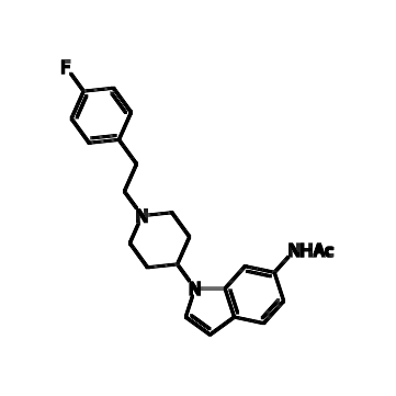 CC(=O)Nc1ccc2ccn(C3CCN(CCc4ccc(F)cc4)CC3)c2c1